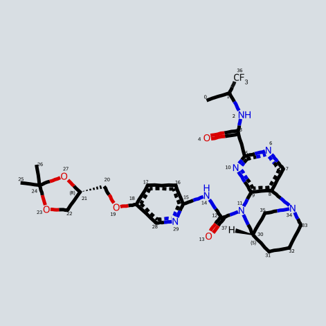 CC(NC(=O)c1ncc2c(n1)N(C(=O)Nc1ccc(OC[C@@H]3COC(C)(C)O3)cn1)[C@H]1CCCN2C1)C(F)(F)F